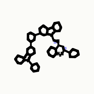 N/C(=C\C(/N=C/n1c2ccccc2c2ccc(-c3cccc(-c4ccc5c(c4)c4ccccc4n5-c4ccccc4)c3)cc21)c1ccccc1)c1ccccc1